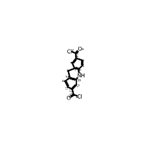 O=C(Cl)c1ccc2c(c1)Cc1ccc(C(=O)Cl)cc1N2